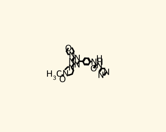 CC(=O)N1CCCN(c2nc(-c3ccc(NC(=O)Nc4cncnc4)cc3)nc(N3CCOCC3)n2)CC1